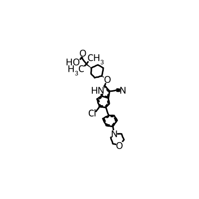 CC(C)(C(=O)O)[C@H]1CC[C@H](Oc2[nH]c3cc(Cl)c(-c4ccc(N5CCOCC5)cc4)cc3c2C#N)CC1